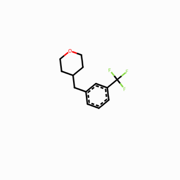 FC(F)(F)c1cccc(CC2CCOCC2)c1